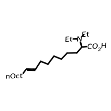 CCCCCCCCC=CCCCCCCC(C(=O)O)N(CC)CC